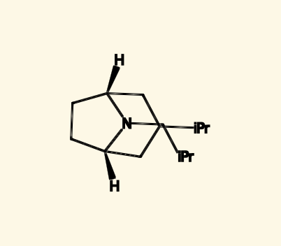 CC(C)CN1[C@@H]2CC[C@H]1CC(C(C)C)C2